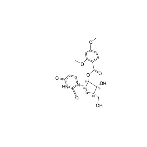 COc1ccc(C(=O)O[C@@H]2[C@H](O)[C@H](CO)S[C@@H]2n2ccc(=O)[nH]c2=O)c(OC)c1